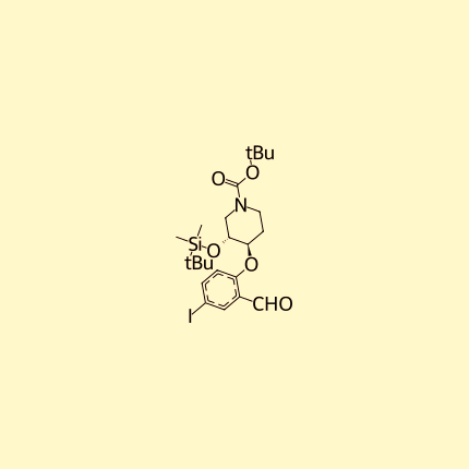 CC(C)(C)OC(=O)N1CC[C@@H](Oc2ccc(I)cc2C=O)[C@H](O[Si](C)(C)C(C)(C)C)C1